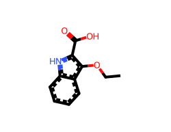 CCOc1c(C(=O)O)[nH]c2ccccc12